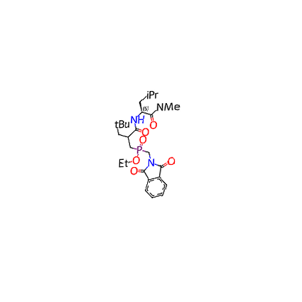 CCOP(=O)(CC(CC(C)(C)C)C(=O)N[C@@H](CC(C)C)C(=O)NC)CN1C(=O)c2ccccc2C1=O